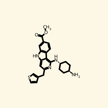 COC(=O)c1ccc2c(c1)[nH]c1cc(Cc3ccsc3)nc(N[C@H]3CC[C@H](N)CC3)c12